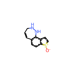 [O-][s+]1ccc2c3c(ccc21)C=CCNN3